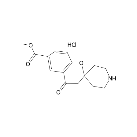 COC(=O)c1ccc2c(c1)C(=O)CC1(CCNCC1)O2.Cl